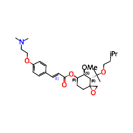 CO[C@H]1[C@H](C(C)(C)OCCC(C)C)C2(CC[C@H]1OC(=O)/C=C/c1ccc(OCCN(C)C)cc1)CO2